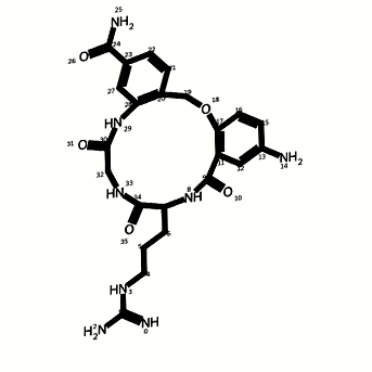 N=C(N)NCCCC1NC(=O)c2cc(N)ccc2OCc2ccc(C(N)=O)cc2NC(=O)CNC1=O